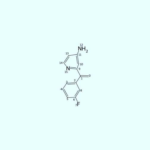 C=C(c1cccc(F)c1)c1cc(N)ccn1